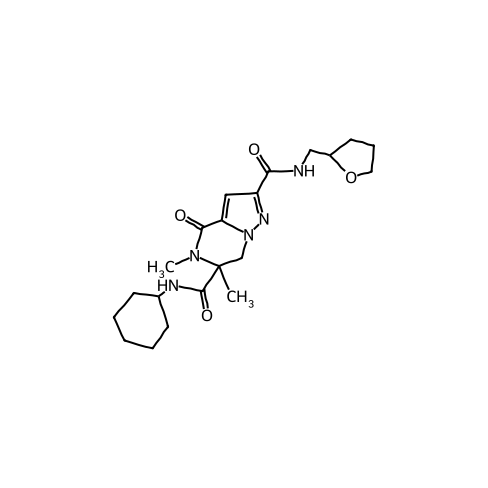 CN1C(=O)c2cc(C(=O)NCC3CCCO3)nn2CC1(C)C(=O)NC1CCCCC1